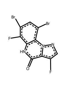 O=c1[nH]c2c(F)c(Br)cc(Br)c2n2ncc(F)c12